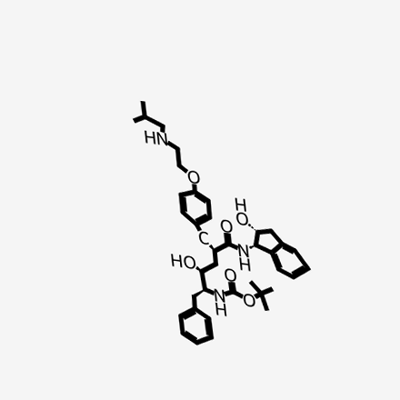 CC(C)CNCCOc1ccc(C[C@H](C[C@H](O)[C@H](Cc2ccccc2)NC(=O)OC(C)(C)C)C(=O)N[C@H]2c3ccccc3C[C@H]2O)cc1